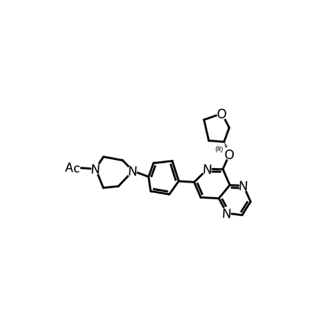 CC(=O)N1CCN(c2ccc(-c3cc4nccnc4c(O[C@@H]4CCOC4)n3)cc2)CC1